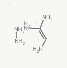 NC=C(N)N.NN